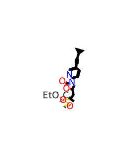 CCOC(=O)C(C)(CC1CN(c2ccc(C#CC3CC3)cn2)C(=O)O1)S(C)(=O)=O